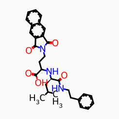 CC(C)C[C@@H](NC(CCN1C(=O)c2cc3ccccc3cc2C1=O)C(=O)O)C(=O)NCCc1ccccc1